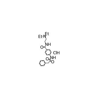 CCN(CC)CCNC(=O)c1ccc(NS(=O)(=O)Cc2ccccc2)cc1.Cl